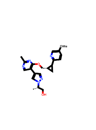 COc1ccc(C2C[C@@H]2COc2nc(C)ncc2-c2cnn([C@@H](C)CO)c2)nc1